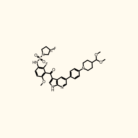 COc1ccc(NS(=O)(=O)N2CC[C@@H](F)C2)c(F)c1C(=O)c1c[nH]c2ncc(-c3ccc(N4CCC(C(OC)OC)CC4)cc3)cc12